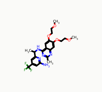 COCCOc1cc2nc(C)nc(NC(C)c3cc(C(F)(F)F)cc(N)n3)c2cc1OCCOC